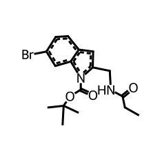 CCC(=O)NCc1cc2ccc(Br)cc2n1C(=O)OC(C)(C)C